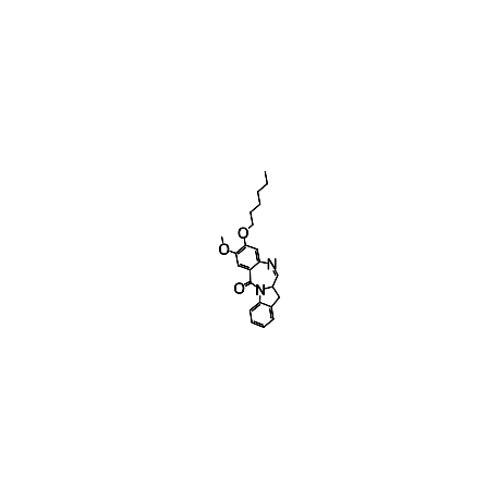 CCCCCCOc1cc2c(cc1OC)C(=O)N1c3ccccc3CC1C=N2